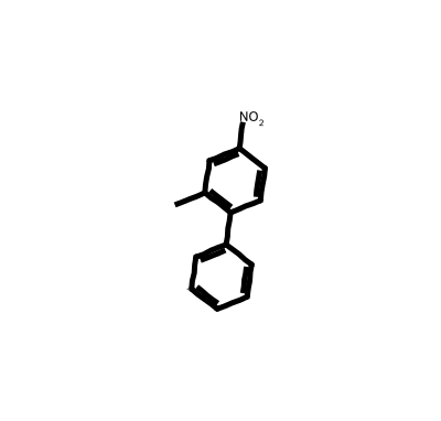 Cc1cc([N+](=O)[O-])ccc1-c1c[c]ccc1